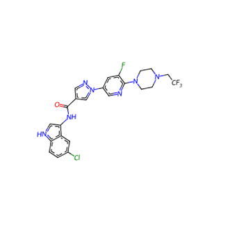 O=C(Nc1c[nH]c2ccc(Cl)cc12)c1cnn(-c2cnc(N3CCN(CC(F)(F)F)CC3)c(F)c2)c1